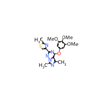 COc1cc(Oc2nc(-c3csc(C)n3)nn3c(C)nc(C)c23)cc(OC)c1OC